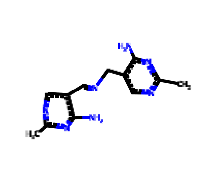 Cc1ncc(C=NCc2cnc(C)nc2N)c(N)n1